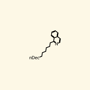 CCCCCCCCCCCCCCCCc1nccc2ccccc12